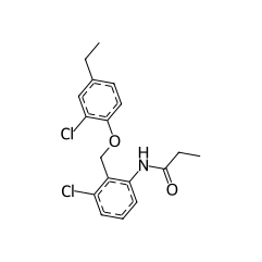 CCC(=O)Nc1cccc(Cl)c1COc1ccc(CC)cc1Cl